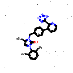 CCCCc1cn(-c2c(C(C)=O)cccc2C(C)C)c(=O)n1Cc1ccc(-c2cccnc2-c2nnn[nH]2)cc1